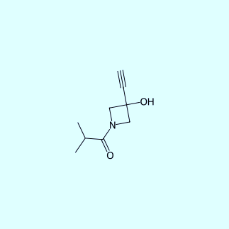 C#CC1(O)CN(C(=O)C(C)C)C1